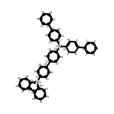 C1=C(c2ccccc2)CCC(N(c2ccc(-c3ccccc3)cc2)c2ccc(-c3ccc(-n4c5ccccc5c5ccccc54)cc3)cc2)=C1